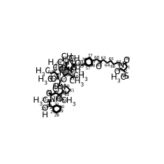 CC[C@H](C)[C@@H]([C@@H](CC(=O)N1CCC[C@H]1[C@H](OC)[C@@H](C)C(=O)N[C@H](C)[C@@H](O)c1ccccc1)OC)N(C)C(=O)[C@H](C(C)C)N(C)C(=O)[C@H](C(C)C)N(C)C(=O)OCc1ccc(CC(=O)CCCCCN2C(=O)CC(SC)C2=O)cc1